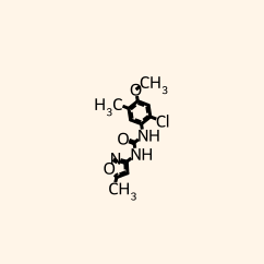 COc1cc(Cl)c(NC(=O)Nc2cc(C)on2)cc1C